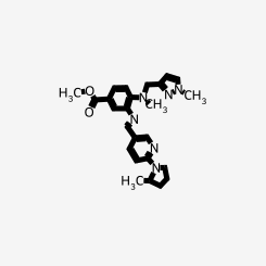 COC(=O)c1ccc(N(C)Cc2ccn(C)n2)c(/N=C/c2ccc(N3CCCC3C)nc2)c1